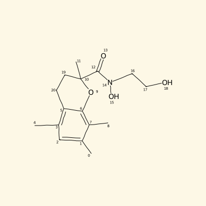 Cc1cc(C)c2c(c1C)OC(C)(C(=O)N(O)CCO)CC2